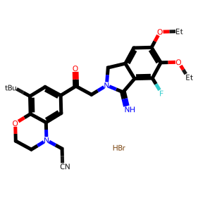 Br.CCOc1cc2c(c(F)c1OCC)C(=N)N(CC(=O)c1cc3c(c(C(C)(C)C)c1)OCCN3CC#N)C2